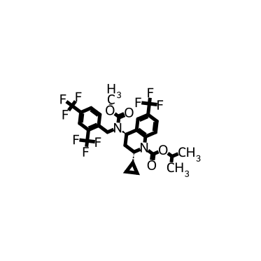 COC(=O)N(Cc1ccc(C(F)(F)F)cc1C(F)(F)F)[C@H]1C[C@@H](C2CC2)N(C(=O)OC(C)C)c2ccc(C(F)(F)F)cc21